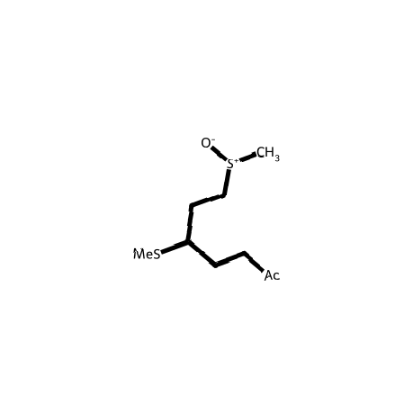 CSC(CCC(C)=O)CC[S+](C)[O-]